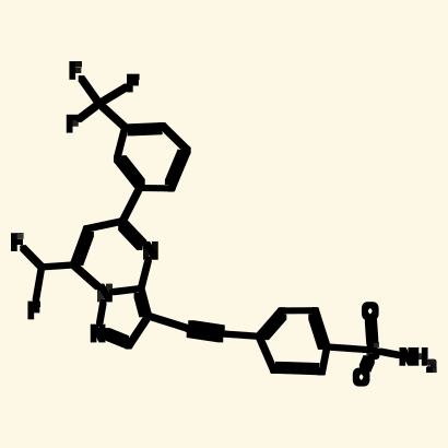 NS(=O)(=O)c1ccc(C#Cc2cnn3c(C(F)F)cc(-c4cccc(C(F)(F)F)c4)nc23)cc1